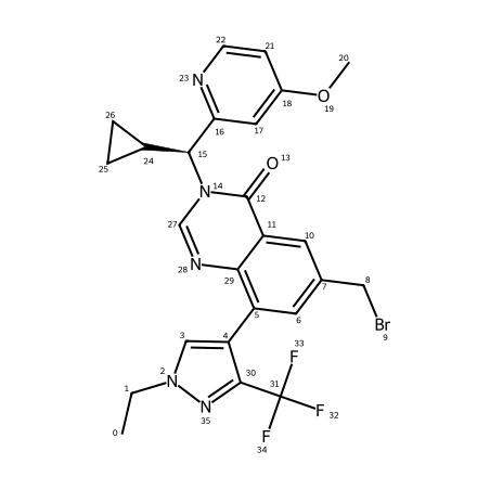 CCn1cc(-c2cc(CBr)cc3c(=O)n([C@H](c4cc(OC)ccn4)C4CC4)cnc23)c(C(F)(F)F)n1